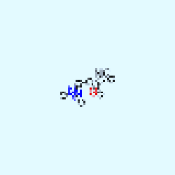 N#Cc1ccccc1-c1ccc2c3ccc(-c4cccc(-c5nc(-c6ccccc6)nc(-c6ccccc6)n5)c4)cc3c3oc4ccccc4c3c2c1